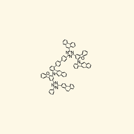 c1ccc(-c2nc(-c3ccc4c(ccc5ccccc54)c3)nc(-c3cc(-n4c5cc6ccccc6cc5c5c(-c6ccc(-c7ccc(-c8nc(-c9cc(-n%10c%11ccccc%11c%11cc%12ccccc%12cc%11%10)c%10oc%11ccccc%11c%10c9)nc(-c9cc%10ccccc%10c%10ccccc9%10)n8)cc7)cc6)cccc54)c4oc5ccccc5c4c3)n2)cc1